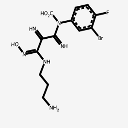 N=C(C(=N)N(C(=O)O)c1ccc(F)c(Br)c1)/C(=N\O)NCCCN